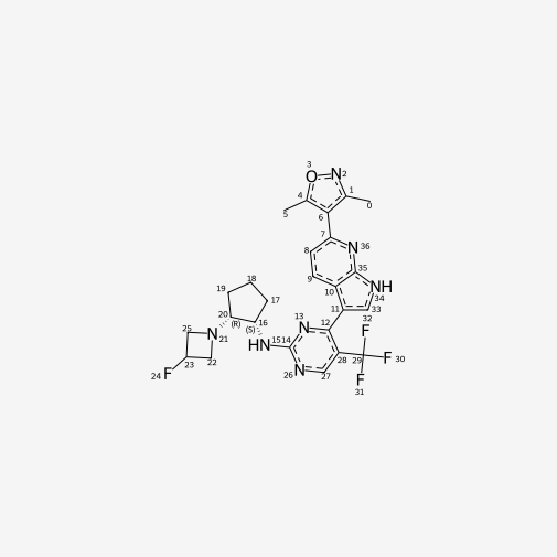 Cc1noc(C)c1-c1ccc2c(-c3nc(N[C@H]4CCC[C@H]4N4CC(F)C4)ncc3C(F)(F)F)c[nH]c2n1